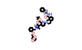 Cc1c(-c2ccc(N3CCc4cccc(C(=O)Nc5nc6ccccc6s5)c4C3)nc2C(=O)OC(C)(C)C)cnn1Cc1ccccc1OCC1COCCO1